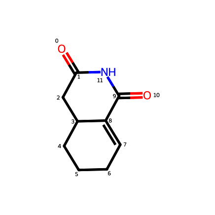 O=C1CC2CCCC=C2C(=O)N1